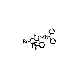 Fc1cc(Br)ccc1C(OC1CN(C(c2ccccc2)c2ccccc2)C1)c1ccccc1C(F)(F)F